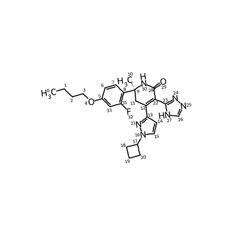 CCCCOc1ccc([C@]2(C)CC(c3ccn(C4CCC4)n3)=C(c3nnc[nH]3)C(=O)N2)c(F)c1